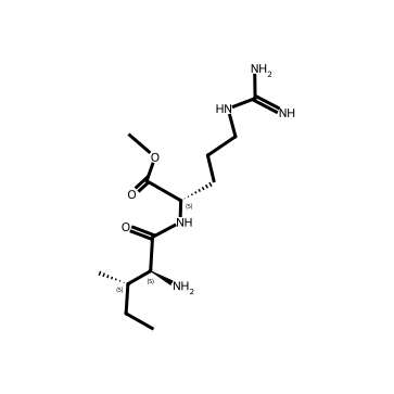 CC[C@H](C)[C@H](N)C(=O)N[C@@H](CCCNC(=N)N)C(=O)OC